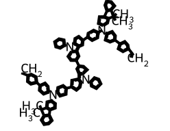 C=Cc1ccc(-c2ccc(N(c3ccc(-c4ccc5c(c4)c4cc(-c6ccc7c(c6)c6cc(-c8ccc(N(c9ccc(-c%10ccc(C=C)cc%10)cc9)c9ccc%10c(c9)C(C)(C)c9ccccc9-%10)cc8)ccc6n7-c6ccccc6)ccc4n5-c4ccccc4)cc3)c3ccc4c(c3)C(C)(C)c3ccccc3-4)cc2)cc1